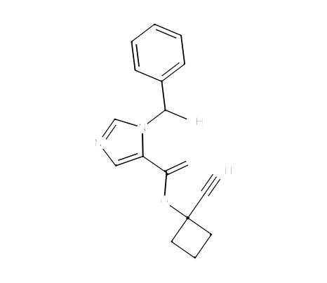 C#CC1(OC(=O)c2cncn2C(C)c2ccccc2)CCC1